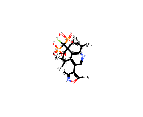 Cc1noc(C)c1-c1cnc(C(C)C)c(C(C(C)C)(C(C)C)C(F)(P(=O)(O)O)P(=O)(O)O)c1C(C)C